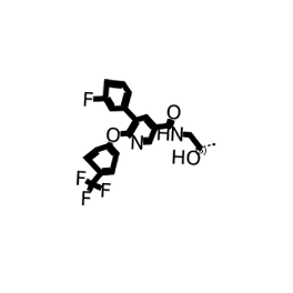 C[C@H](O)CNC(=O)c1cnc(Oc2ccc(C(F)(F)F)cc2)c(-c2cccc(F)c2)c1